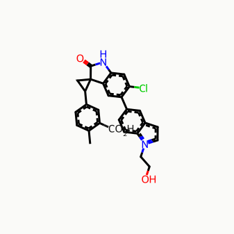 Cc1ccc(C2CC23C(=O)Nc2cc(Cl)c(-c4ccc5c(ccn5CCO)c4)cc23)cc1C(=O)O